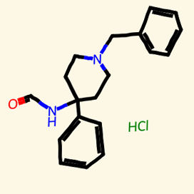 Cl.O=CNC1(c2ccccc2)CCN(Cc2ccccc2)CC1